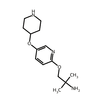 CC(C)(N)COc1ccc(OC2CCNCC2)cn1